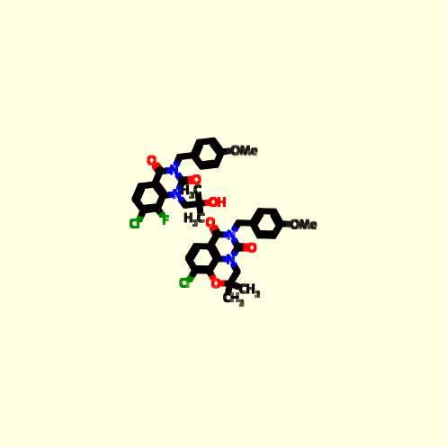 COc1ccc(Cn2c(=O)c3ccc(Cl)c(F)c3n(CC(C)(C)O)c2=O)cc1.COc1ccc(Cn2c(=O)c3ccc(Cl)c4c3n(c2=O)CC(C)(C)O4)cc1